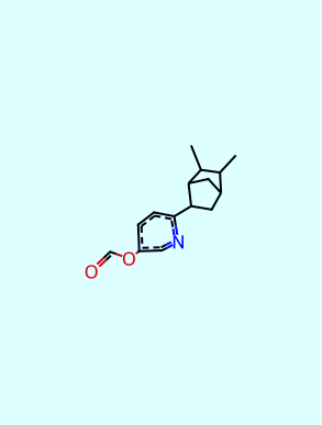 CC1C2CC(c3ccc(OC=O)cn3)C(C2)C1C